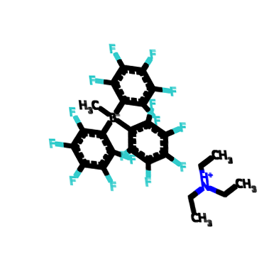 CC[NH+](CC)CC.C[B-](c1c(F)c(F)c(F)c(F)c1F)(c1c(F)c(F)c(F)c(F)c1F)c1c(F)c(F)c(F)c(F)c1F